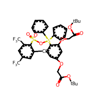 CC(C)(C)OC(=O)COc1ccc(S(OS(=O)(=O)c2c(C(F)(F)F)cc(C(F)(F)F)cc2C(F)(F)F)(c2ccccc2)c2ccccc2)c(OCC(=O)OC(C)(C)C)c1